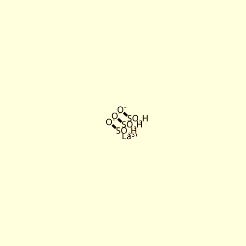 O=S(=O)([O-])O.O=S(=O)([O-])O.O=S(=O)([O-])O.[La+3]